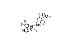 C=CC(CCCN(CCC)CCN(C)c1cc(F)c(F)cc1C)C(NC)C1CCCCC1